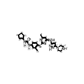 Cc1cc(Nc2cc(N3CCNCC3)n[nH]2)nc(Sc2ccc(NC(=O)NC3CCCC3)cc2C)n1